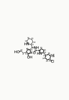 O=C(NC(c1nc(O)c(CCO)s1)C1CCCCN1)c1ccc(-c2ccc(Cl)c(F)c2)[nH]1